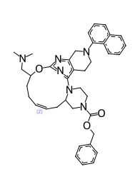 CN(C)CC1CC/C=C\CC2CN(C(=O)OCc3ccccc3)CCN2c2nc(nc3c2CCN(c2cccc4ccccc24)C3)O1